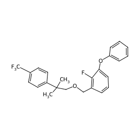 CC(C)(COCc1cccc(Oc2ccccc2)c1F)c1ccc(C(F)(F)F)cc1